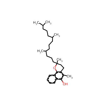 Cc1c2c(c3ccccc3c1O)OC(C)(CCCC(C)CCCC(C)CCCC(C)C)CC2